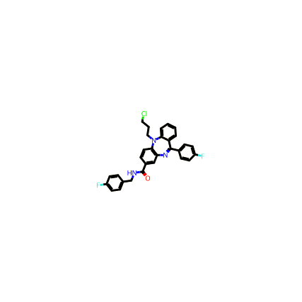 O=C(NCc1ccc(F)cc1)c1ccc2c(c1)N=C(c1ccc(F)cc1)c1ccccc1N2CCCCl